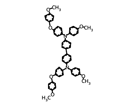 COc1ccc(Oc2ccc(N(c3ccc(OC)cc3)c3ccc(-c4ccc(N(c5ccc(OC)cc5)c5ccc(Oc6ccc(OC)cc6)cc5)cc4)cc3)cc2)cc1